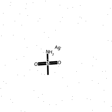 CS(N)(=O)=O.[Ag]